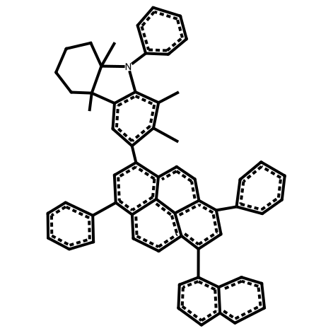 Cc1c(-c2cc(-c3ccccc3)c3ccc4c(-c5cccc6ccccc56)cc(-c5ccccc5)c5ccc2c3c54)cc2c(c1C)N(c1ccccc1)C1(C)CCCCC21C